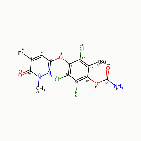 CC(C)c1cc(Oc2c(Cl)c(F)c(OC(N)=O)c(C(C)(C)C)c2Cl)nn(C)c1=O